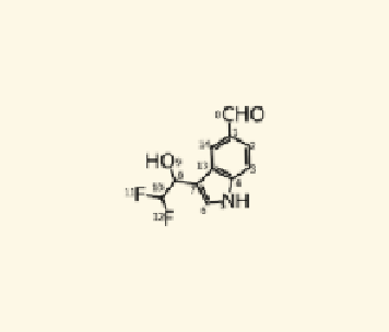 O=Cc1ccc2[nH]cc(C(O)C(F)F)c2c1